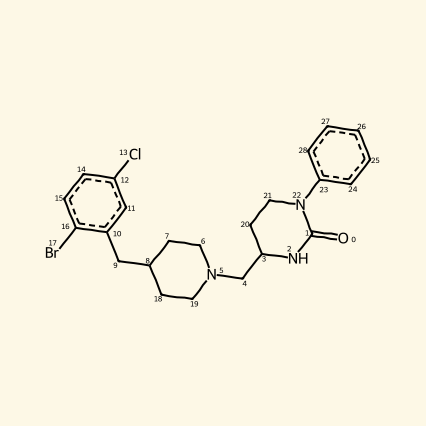 O=C1NC(CN2CCC(Cc3cc(Cl)ccc3Br)CC2)CCN1c1ccccc1